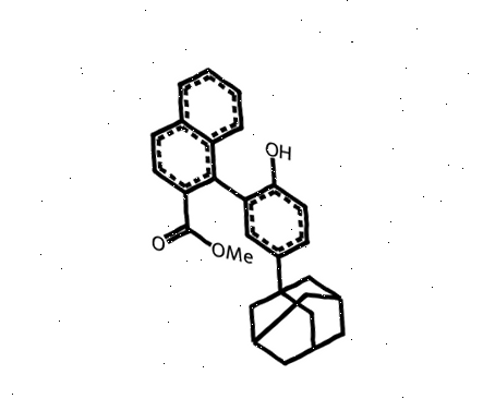 COC(=O)c1ccc2ccccc2c1-c1cc(C23CC4CC(CC(C4)C2)C3)ccc1O